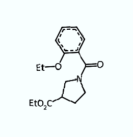 CCOC(=O)C1CCN(C(=O)c2ccccc2OCC)C1